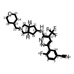 N#Cc1ccc(F)c(-c2cc(C(F)(F)F)c(NC3C[C@@H]4CN(CC5CCOCC5)C[C@@H]4C3)nn2)c1